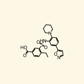 CCc1ccc(C(=O)O)cc1S(=O)(=O)Nc1cc(-c2ccno2)ccc1N1CCCCC1